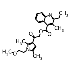 CCc1nc2ccccc2c(C(=O)OCC(=O)c2cc(C)n(CCOC)c2C)c1C